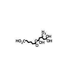 CC(CC(O)O)CC(O)OC(=O)CCCCC(=O)O